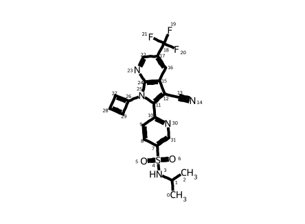 CC(C)NS(=O)(=O)c1ccc(-c2c(C#N)c3cc(C(F)(F)F)cnc3n2C2=CC=C2)nc1